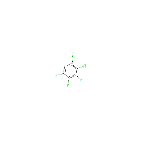 Fc1cc(Cl)c(Cl)c(F)c1Cl